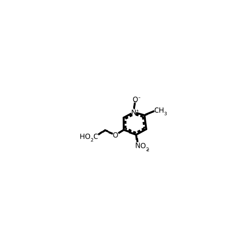 Cc1cc([N+](=O)[O-])c(OCC(=O)O)c[n+]1[O-]